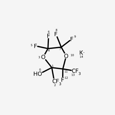 OC1(C(F)(F)F)OC(F)(F)C(F)(F)OC1(F)C(F)(F)F.[K]